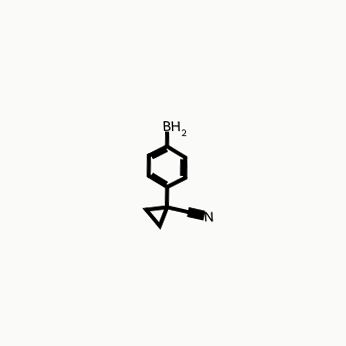 Bc1ccc(C2(C#N)CC2)cc1